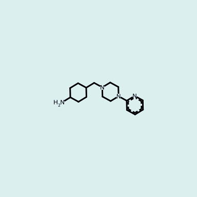 NC1CCC(CN2CCN(c3ccccn3)CC2)CC1